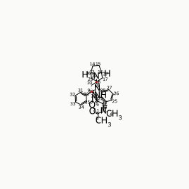 CC(=O)N(C)CC(=O)N[C@@H](CCN1[C@@H]2CC[C@H]1C[C@H](n1cnc3c(F)cccc31)C2)c1ccccc1